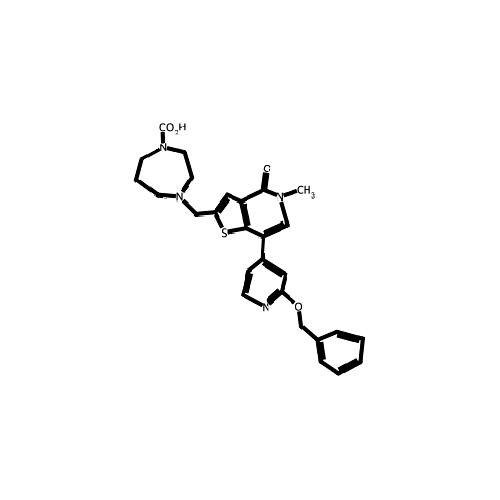 Cn1cc(-c2ccnc(OCc3ccccc3)c2)c2sc(CN3CCCN(C(=O)O)CC3)cc2c1=O